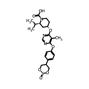 Cc1c(Oc2ccc(C3COS(=O)OC3)cc2)ncnc1O[C@H]1CCN(C(=O)O)[C@H](C(C)C)C1